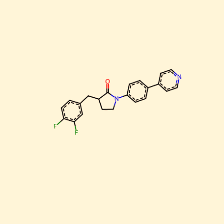 O=C1C(Cc2ccc(F)c(F)c2)CCN1c1ccc(-c2ccncc2)cc1